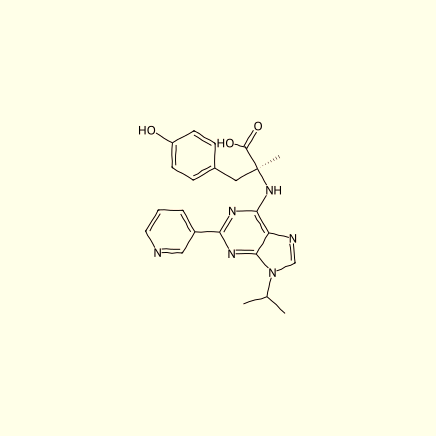 CC(C)n1cnc2c(N[C@@](C)(Cc3ccc(O)cc3)C(=O)O)nc(-c3cccnc3)nc21